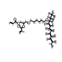 C=CC(=O)OCC(COCCCCCCOC(F)(/C(F)=C(F)/C(F)=C(F)/C(F)=C(F)/C(F)=C(\F)CF)C(F)(F)C(F)(F)F)OC(=O)C=C